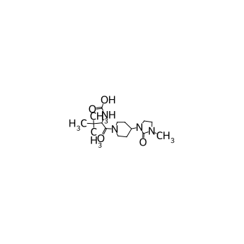 CN1CCN(C2CCN(C(=O)[C@H](NC(=O)O)C(C)(C)C)CC2)C1=O